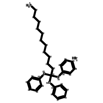 Br.PCCCCCCCCCCCC(Oc1ccccc1)(Oc1ccccc1)Oc1ccccc1